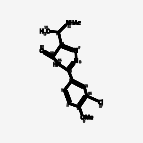 COc1ccc(-c2nnc(C(C)NC(C)=O)c(=O)[nH]2)cc1Cl